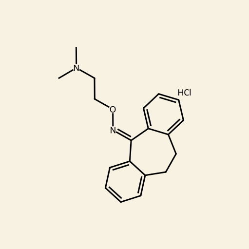 CN(C)CCON=C1c2ccccc2CCc2ccccc21.Cl